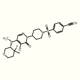 C#Cc1ccc(S(=O)(=O)N2CCC(n3ncc(N(C)[C@@H]4COCCC4(F)F)c(Cl)c3=O)CC2)cc1